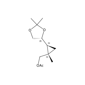 CC(=O)OC[C@@]1(C)C[C@@H]1[C@@H]1COC(C)(C)O1